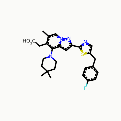 Cc1cn2nc(-c3ncc(Cc4ccc(F)cc4)s3)cc2c(N2CCC(C)(C)CC2)c1CC(=O)O